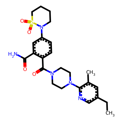 CCc1cnc(N2CCN(C(=O)c3ccc(N4CCCCS4(=O)=O)cc3C(N)=O)CC2)c(C)c1